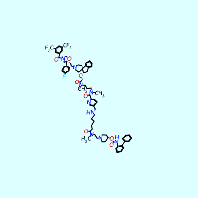 CN(CCN1CCC(OC(=O)Nc2ccccc2-c2ccccc2)CC1)C(=O)CCCCCNCc1ccc(C(=O)N(C)CCCN(C)C(=O)CO[C@H]2Cc3ccccc3C23CCN(CC[C@]2(c4ccc(F)cc4)CN(C(=O)c4cc(C(F)(F)F)cc(C(F)(F)F)c4)CO2)CC3)nc1